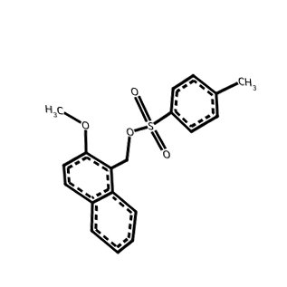 COc1ccc2ccccc2c1COS(=O)(=O)c1ccc(C)cc1